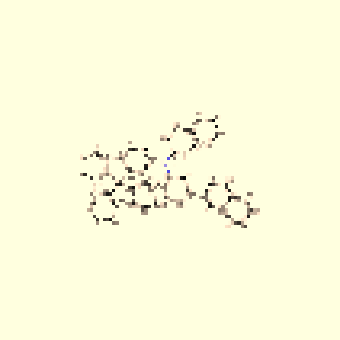 C1=C2C3=C4C(=CCC3)c3ccc(N(C5=Cc6ccccc6CC5)c5cccc(-c6ccc7ccccc7c6)c5)cc3C43C2=C(CC1)c1ccccc13